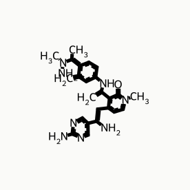 C=C(Nc1cc/c(=C(\C)N(C)N)c(=C)c1)c1c(/C=C(\N)c2cnc(N)nc2)ccn(C)c1=O